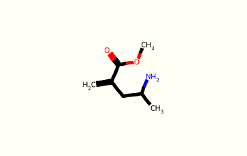 C=C(CC(C)N)C(=O)OC